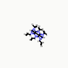 C=CCN1C2C3N(C(=C)C)C(C4N(CC=C)C1C(N4C(=C)C)N3C(=C)C)N2CC=C